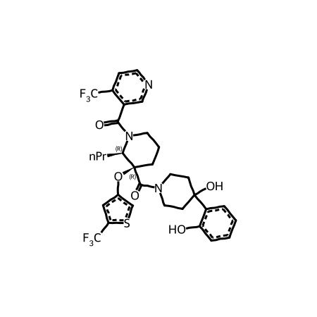 CCC[C@H]1N(C(=O)c2cnccc2C(F)(F)F)CCC[C@]1(Oc1csc(C(F)(F)F)c1)C(=O)N1CCC(O)(c2ccccc2O)CC1